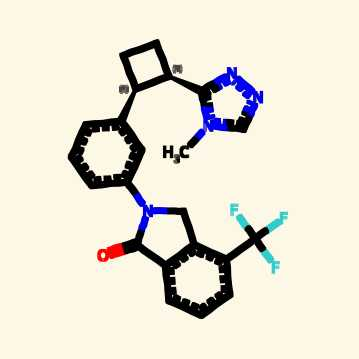 Cn1cnnc1[C@@H]1CC[C@@H]1c1cccc(N2Cc3c(cccc3C(F)(F)F)C2=O)c1